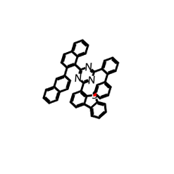 c1ccc(-c2ccccc2-c2nc(-c3c(-c4ccc5ccccc5c4)ccc4ccccc34)nc(-c3cccc4c3sc3ccccc34)n2)cc1